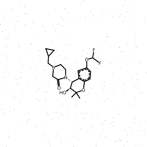 CC1(C)Oc2ccc(OC(F)F)cc2[C@@H](N2CCN(CC3CC3)CC2=O)[C@@H]1O